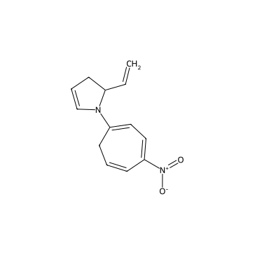 C=CC1CC=CN1C1=CC=C([N+](=O)[O-])C=CC1